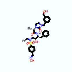 CC[C@H](C)[C@@H](C(=O)N[C@@H](Cc1ccccc1)[C@H](O)CN(CC(C)C)S(=O)(=O)c1ccc(/C=N/O)cc1)N1CCN(Cc2cccc(CO)c2)C1=O